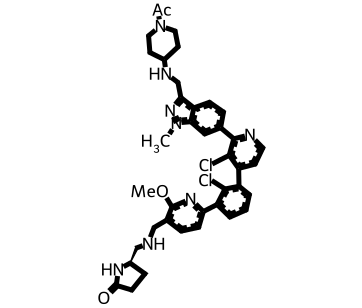 COc1nc(-c2cccc(-c3ccnc(-c4ccc5c(CNC6CCN(C(C)=O)CC6)nn(C)c5c4)c3Cl)c2Cl)ccc1CNC[C@H]1CCC(=O)N1